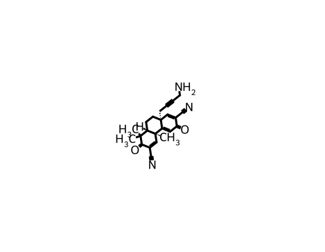 CC1(C)C(=O)C(C#N)=C[C@]2(C)C3=CC(=O)C(C#N)=C[C@]3(CC#CCN)CC[C@@H]12